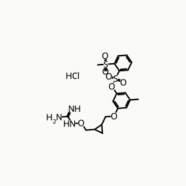 Cc1cc(OCC2CC2CONC(=N)N)cc(OS(=O)(=O)c2ccccc2S(C)(=O)=O)c1.Cl